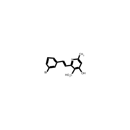 Cc1cc(O)c(C(=O)O)c(/C=C/c2cccc(Br)c2)n1